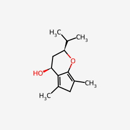 CC1=C2O[C@H](C(C)C)C[C@H](O)C2=C(C)C1